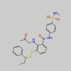 CCC(SSc1cccc(C(=O)Nc2ccc(S(N)(=O)=O)cc2)c1NCC(C)=O)c1ccccc1